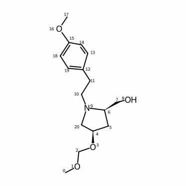 COCO[C@@H]1C[C@H](CO)N(CCc2ccc(OC)cc2)C1